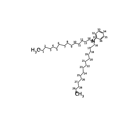 CCCCCCCCCCCCCCCN(CCCCCCCCCCCCCCC)c1ccccc1